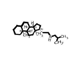 CC(C)CNCC[C@H]1CC[C@H]2[C@@H]3CC=C4CCCC[C@]4(C)[C@H]3CC[C@]12C